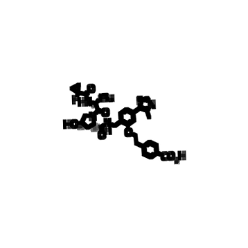 Cc1ncsc1-c1ccc(CNC(=O)[C@@H]2C[C@@H](O)CN2C(=O)[C@@H](NC(=O)C2(F)CC2)C(C)(C)C)c(OCCc2ccc(C(=O)O)cc2)c1